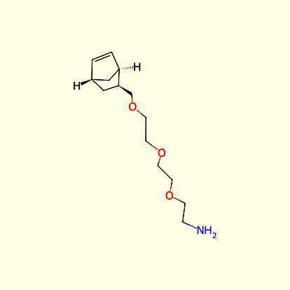 NCCOCCOCCOC[C@H]1C[C@@H]2C=C[C@@H]1C2